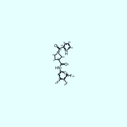 O=C(Nc1cc(F)c(F)c(F)c1)C1CCN(C(=O)c2ccc[nH]2)C1